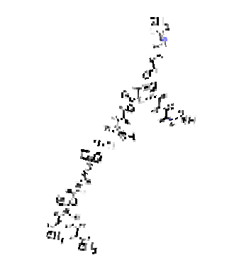 CC/C=C\CCCCOC(CCC(=O)OCCCC(O)CCCOC(=O)CCCCCCOC(=O)C(CCCC)CCCCCC)OCCCC/C=C\CC